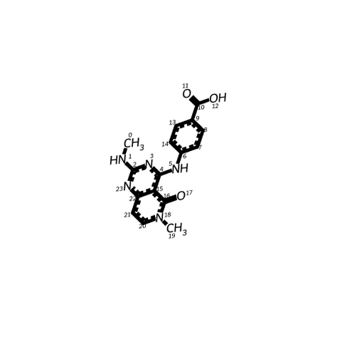 CNc1nc(Nc2ccc(C(=O)O)cc2)c2c(=O)n(C)ccc2n1